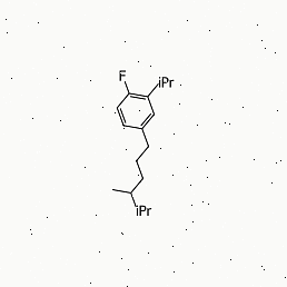 CC(C)c1cc(CCCC(C)C(C)C)ccc1F